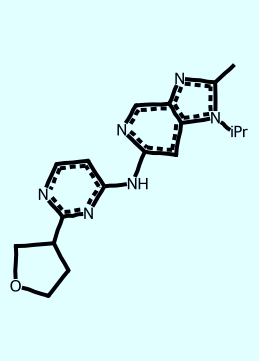 Cc1nc2cnc(Nc3ccnc(C4CCOC4)n3)cc2n1C(C)C